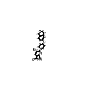 CCc1cc2c(nc1N1CCC(Oc3ccc4c(c3)CCOC4)CC1)CNC2=O